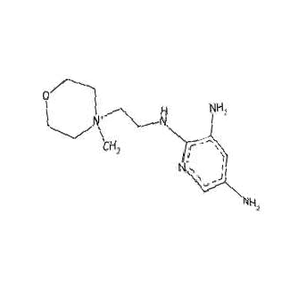 C[N+]1(CCNc2ncc(N)cc2N)CCOCC1